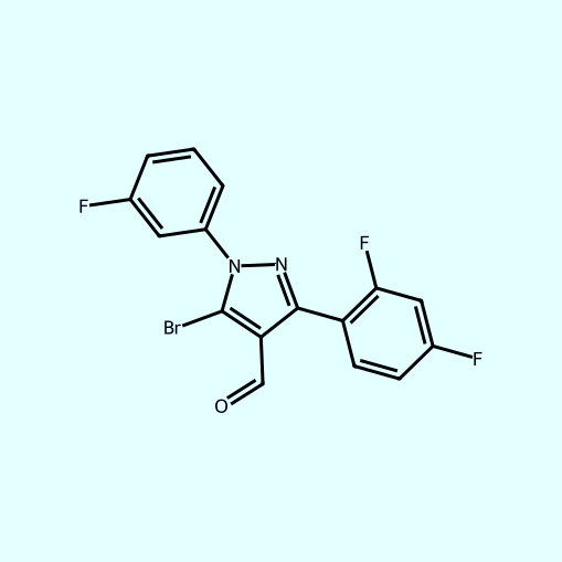 O=Cc1c(-c2ccc(F)cc2F)nn(-c2cccc(F)c2)c1Br